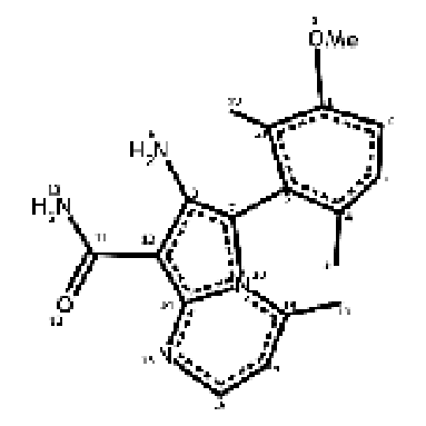 COc1ccc(C)c(-c2c(N)c(C(N)=O)c3nccc(C)n23)c1C